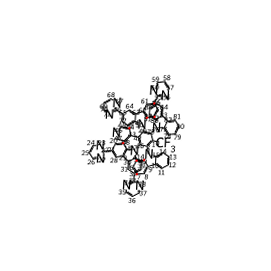 FC(F)(F)c1c(-n2c3ccccc3c3ccccc32)c(-n2c3ccc(-c4ncccn4)cc3c3cc(-c4ncccn4)ccc32)c(-c2ccncc2)c(-n2c3ccc(-c4ncccn4)cc3c3cc(-c4ncccn4)ccc32)c1-n1c2ccccc2c2ccccc21